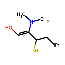 CC(C)CC(S)/C(=C/O)N(C)C